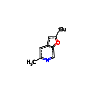 Cc1cc2cc(C(C)(C)C)oc2cn1